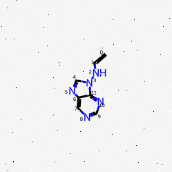 C=CNn1cnc2cncnc21